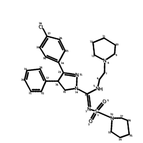 O=S(=O)(/N=C(\NCCN1CCCCC1)N1CC(c2ccccc2)C(c2ccc(Cl)cc2)=N1)N1CCCCC1